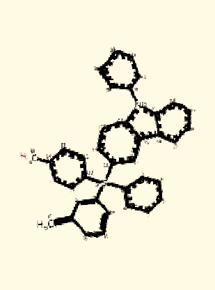 C=C1C=C(S(c2ccccc2)(c2ccc(C)cc2)c2ccc3c(c2)c2ccccc2n3-c2ccccc2)C=CC1